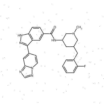 CN1CC(Cc2ccccc2F)CC(NC(=O)c2ccc3[nH]nc(-c4ccn5ncnc5c4)c3c2)C1